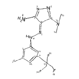 [CH]c1cc(NN=C2C(N)=NN=C2N(C)C)cc(C(F)(F)F)c1